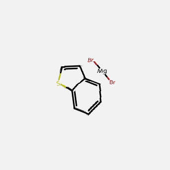 [Br][Mg][Br].[c]1csc2ccccc12